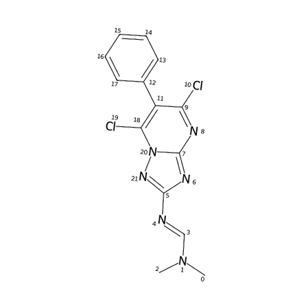 CN(C)/C=N/c1nc2nc(Cl)c(-c3ccccc3)c(Cl)n2n1